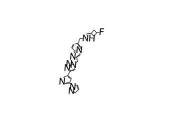 FC1CC(CNCc2ccc3nc(Cn4cc(-c5cncc(-n6cccn6)c5)nn4)cn3c2)C1